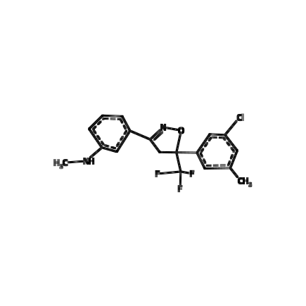 CNc1cccc(C2=NOC(c3cc(C)cc(Cl)c3)(C(F)(F)F)C2)c1